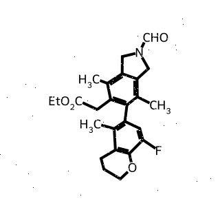 CCOC(=O)Cc1c(C)c2c(c(C)c1-c1cc(F)c3c(c1C)CCCO3)CN(C=O)C2